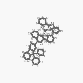 c1ccc(C2(c3ccccc3)c3ccccc3-c3ccc(-c4cc5c6ccccc6n(-c6nc7ccccc7c7nc8ccccc8n67)c5c5ccccc45)cc32)cc1